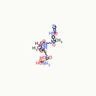 CC1CC(=O)N(CCCCNC(=O)[C@H](C)NC(=O)[C@@H](NC(=O)CCCCCN2C(=O)CC(SC[C@H](N)C(=O)O)C2O)C(C)C)N=C1c1ccc(NC(=O)N2Cc3ccncc3C2)cc1